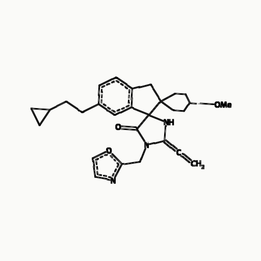 C=C=C1NC2(C(=O)N1Cc1ncco1)c1cc(CCC3CC3)ccc1CC21CCC(OC)CC1